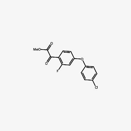 COC(=O)C(=O)c1ccc(Oc2ccc(Cl)cc2)cc1F